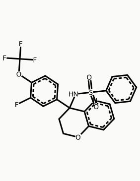 O=S(=O)(NC1(c2ccc(OC(F)(F)F)c(F)c2)CCOc2cccnc21)c1ccccc1